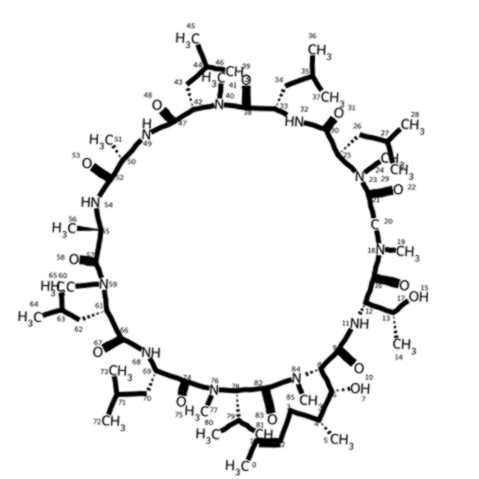 CC=CC[C@@H](C)[C@@H](O)[C@H]1C(=O)N[C@@H]([C@@H](C)O)C(=O)N(C)CC(=O)N(C)[C@@H](CC(C)C)C(=O)N[C@@H](CC(C)C)C(=O)N(C)[C@@H](CC(C)C)C(=O)N[C@@H](C)C(=O)N[C@H](C)C(=O)N(C)[C@@H](CC(C)C)C(=O)N[C@@H](CC(C)C)C(=O)N(C)[C@@H](C(C)C)C(=O)N1C